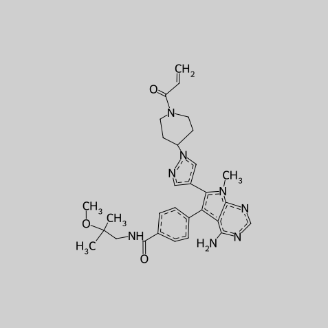 C=CC(=O)N1CCC(n2cc(-c3c(-c4ccc(C(=O)NCC(C)(C)OC)cc4)c4c(N)ncnc4n3C)cn2)CC1